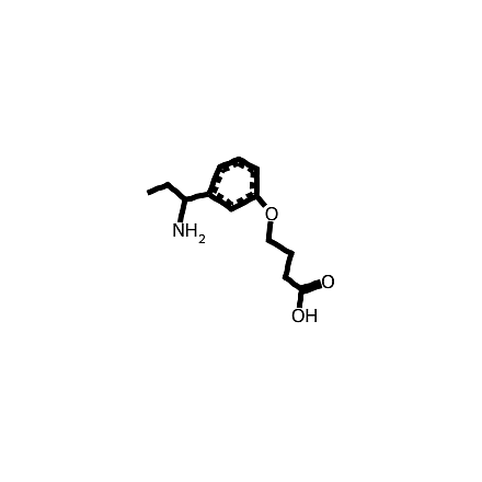 CCC(N)c1cccc(OCCCC(=O)O)c1